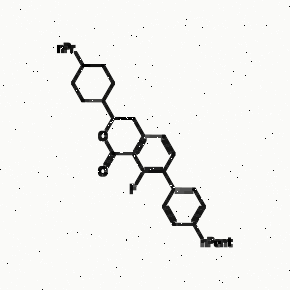 CCCCCc1ccc(-c2ccc3c(c2F)C(=O)OC(C2CCC(CCC)CC2)C3)cc1